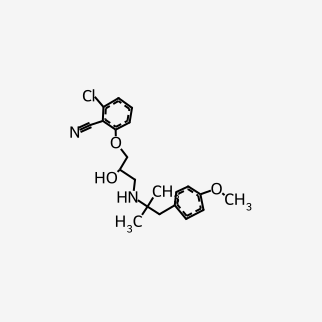 COc1ccc(CC(C)(C)NCC(O)COc2cccc(Cl)c2C#N)cc1